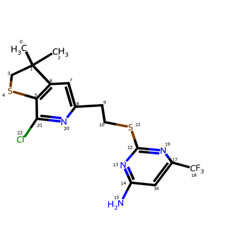 CC1(C)CSc2c1cc(CCSc1nc(N)cc(C(F)(F)F)n1)nc2Cl